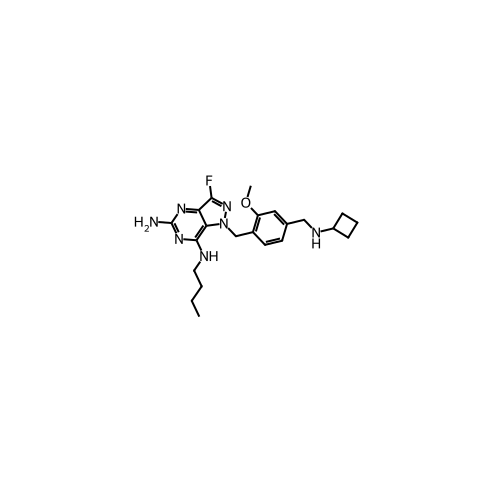 CCCCNc1nc(N)nc2c(F)nn(Cc3ccc(CNC4CCC4)cc3OC)c12